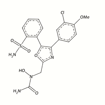 COc1ccc(-c2nc(CN(O)C(N)=O)oc2-c2ccccc2S(N)(=O)=O)cc1Cl